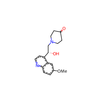 COc1ccc2nccc([C@@H](O)CN3CCC(=O)CC3)c2c1